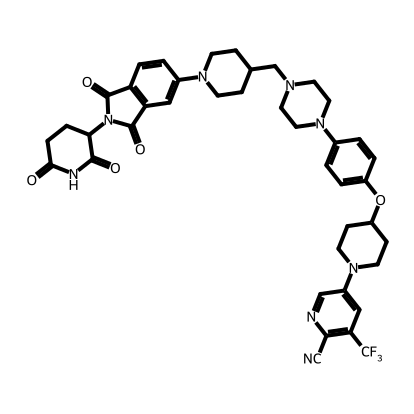 N#Cc1ncc(N2CCC(Oc3ccc(N4CCN(CC5CCN(c6ccc7c(c6)C(=O)N(C6CCC(=O)NC6=O)C7=O)CC5)CC4)cc3)CC2)cc1C(F)(F)F